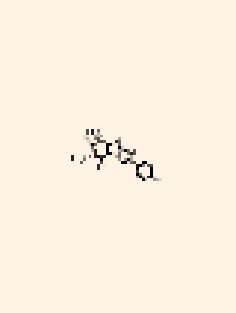 Cn1c(=O)c2c(nc3[nH]c(-c4ccc(Cl)cc4)cn32)n(C)c1=O